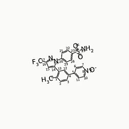 Cc1ccc(-c2cc[n+]([O-])cc2)cc1-c1cc(C(F)(F)F)nn1-c1ccc(S(N)(=O)=O)cc1